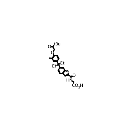 CCC(CC)(c1ccc(OCC(=O)C(C)(C)C)c(C)c1)c1ccc2cc(C(=O)NCC(=O)O)sc2c1